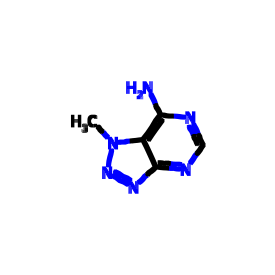 Cn1nnc2ncnc(N)c21